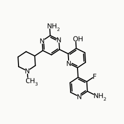 CN1CCCC(c2cc(-c3nc(-c4ccnc(N)c4F)ccc3O)nc(N)n2)C1